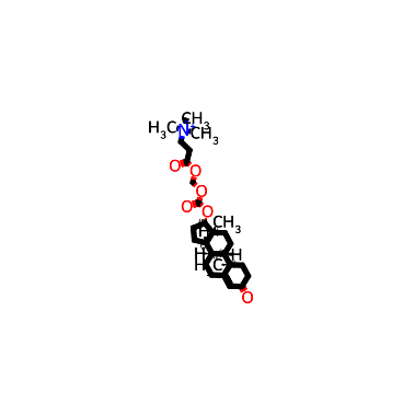 C[C@]12CC[C@H]3[C@@H](CCC4=CC(=O)CC[C@@]43C)[C@@H]1CC[C@@H]2OC(=O)OCOC(=O)CC[N+](C)(C)C